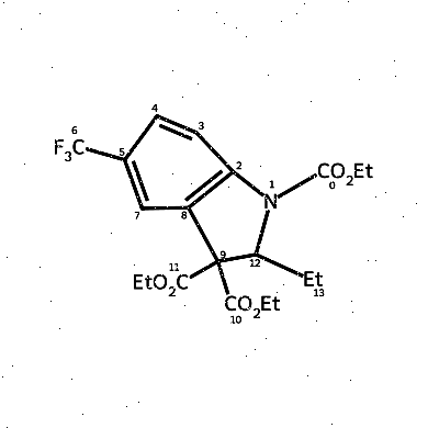 CCOC(=O)N1c2ccc(C(F)(F)F)cc2C(C(=O)OCC)(C(=O)OCC)C1CC